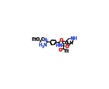 CCOC(=O)/N=C(\N)c1ccc(C(=O)NC(OC2CCNCC2)(C(=O)O)C(=O)CC)cc1